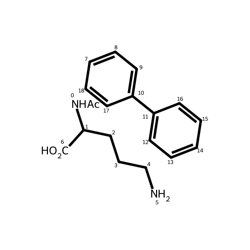 CC(=O)NC(CCCN)C(=O)O.c1ccc(-c2ccccc2)cc1